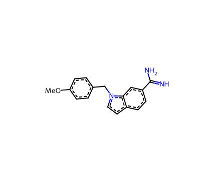 COc1ccc(Cn2ccc3ccc(C(=N)N)cc32)cc1